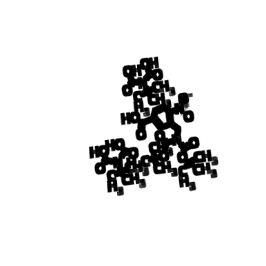 CC(C)(C)N(C(=O)O)C(=O)O.CC(C)(C)N(C(=O)O)C(=O)O.CC(C)(C)OC(=O)N(Cc1cc(C(=O)O)ccc1[N+](=O)[O-])C(=O)OC(C)(C)C